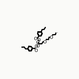 [CH2]CCOCCCOCC[C](OOC(=O)c1ccc(CCC)cc1)OOC(=O)c1ccc(CCC)cc1